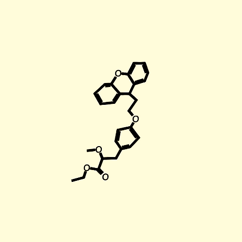 CCOC(=O)C(Cc1ccc(OCCC2c3ccccc3Oc3ccccc32)cc1)OC